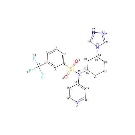 O=S(=O)(c1cccc(C(F)(F)F)c1)N(c1ccncc1)[C@H]1CCC[C@@H](n2cnnc2)C1